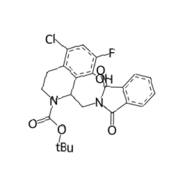 CC(C)(C)OC(=O)N1CCc2c(Cl)cc(F)c(O)c2C1CN1C(=O)c2ccccc2C1=O